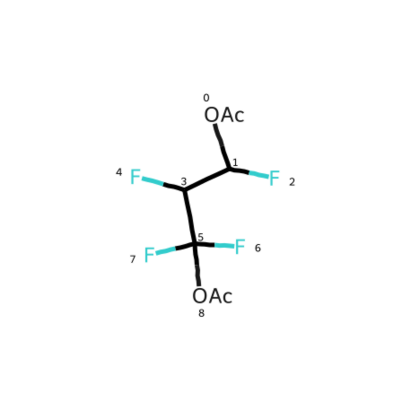 CC(=O)OC(F)C(F)C(F)(F)OC(C)=O